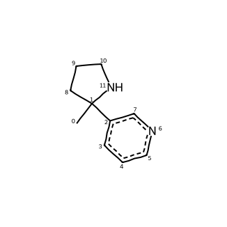 CC1(c2cccnc2)CCCN1